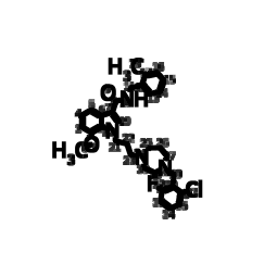 COc1cccc2c(C(=O)NCc3ccccc3C)cn(CCCN3CCCN(Cc4c(F)cccc4Cl)CC3)c12